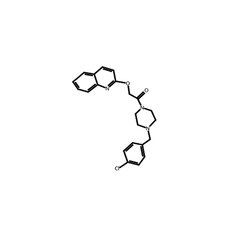 O=C(COc1ccc2ccccc2n1)N1CCN(Cc2ccc(Cl)cc2)CC1